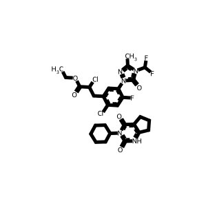 CCOC(=O)C(Cl)Cc1cc(-n2nc(C)n(C(F)F)c2=O)c(F)cc1Cl.O=c1[nH]c2c(c(=O)n1C1CCCCC1)CCC2